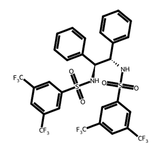 O=S(=O)(N[C@@H](c1ccccc1)[C@@H](NS(=O)(=O)c1cc(C(F)(F)F)cc(C(F)(F)F)c1)c1ccccc1)c1cc(C(F)(F)F)cc(C(F)(F)F)c1